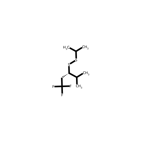 CC(C)SS[C@@H](CC(F)(F)F)C(C)C